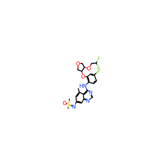 Cc1cc(N=S(C)(C)=O)cc2ncnc(Nc3ccc(F)cc3O[C@H]3COC[C@H]3OCC(F)F)c12